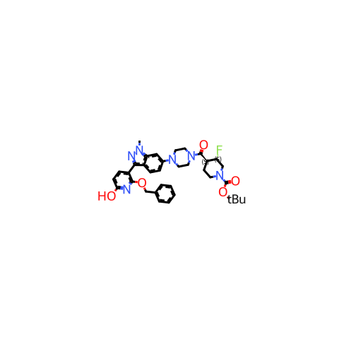 Cn1nc(-c2ccc(O)nc2OCc2ccccc2)c2ccc(N3CCN(C(=O)[C@@H]4CCN(C(=O)OC(C)(C)C)C[C@H]4F)CC3)cc21